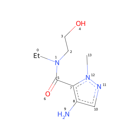 CCN(CCO)C(=O)c1c(N)cnn1C